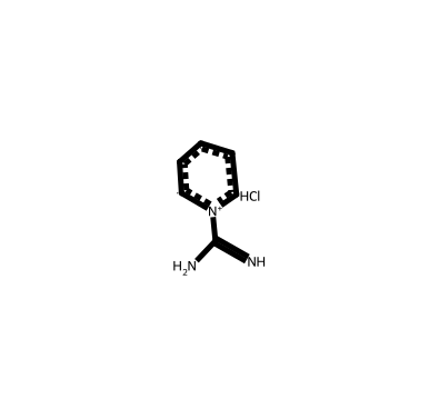 Cl.N=C(N)[n+]1[c]cccc1